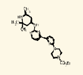 C=C1CC(Nc2nccc(-c3ccc(N4CCN(C(=O)OCC)CC4)s3)n2)CC(C)(C)N1